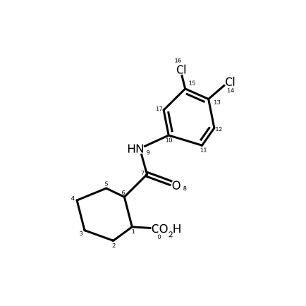 O=C(O)C1CCCCC1C(=O)Nc1ccc(Cl)c(Cl)c1